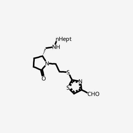 CCCCCCCNC[C@H]1CCC(=O)N1CCSc1nc(C=O)cs1